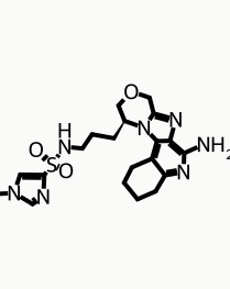 Cn1cnc(S(=O)(=O)NCCC[C@H]2COCc3nc4c(N)nc5c(c4n32)CCCC5)c1